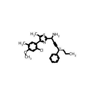 CCC[C@H](C#CC(N)c1nc(-c2cc(C)c(OC)cc2Cl)c(C)s1)c1ccccc1